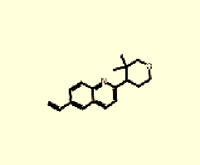 C=Cc1ccc2nc(C3CCOCC3(C)C)ccc2c1